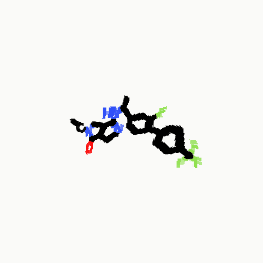 CCN1Cc2c(ccnc2NC(C)c2ccc(-c3ccc(C(F)(F)F)cc3)c(F)c2)C1=O